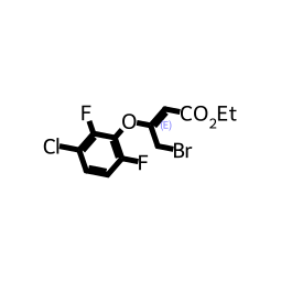 CCOC(=O)/C=C(\CBr)Oc1c(F)ccc(Cl)c1F